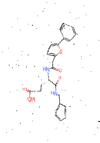 O=C(O)CC[C@H](NC(=O)c1ccc(-c2ccccc2)o1)C(=O)NCc1ccccc1